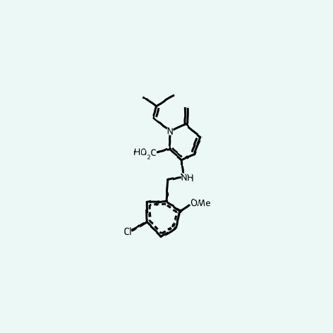 C=C1C=CC(NCc2cc(Cl)ccc2OC)=C(C(=O)O)N1C=C(C)C